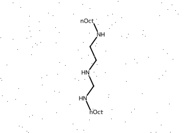 CCCCCCCCNCCNCNCCCCCCCC